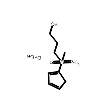 Cl.Cl.[CH3][Ti](=[O])(=[SiH2])([CH2]CCO)[C]1=CC=CC1